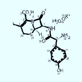 CC1=C(C(=O)O)N2C(=O)[C@@H](NC(=O)[C@H](N)c3ccc(O)cc3)[C@H]2SC1.O.[Cl-].[K+]